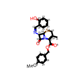 COc1ccc(COC(=O)C2=C(C)CSC3[C@H](/N=C\c4ccccc4O)C(=O)N23)cc1